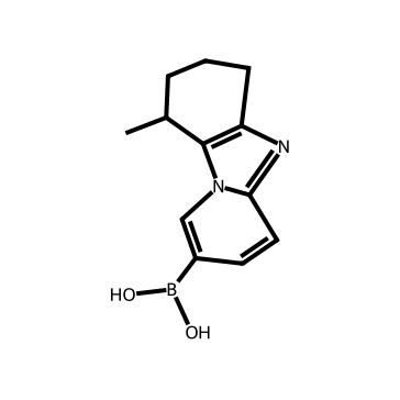 CC1CCCc2nc3ccc(B(O)O)cn3c21